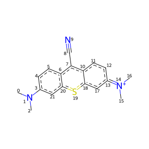 CN(C)c1ccc2c(C#N)c3ccc(=[N+](C)C)cc-3sc2c1